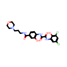 O=C(Nc1ccc(C(=O)NCCCN2CCOCC2)cc1O)C(=O)Nc1cc(Cl)cc(Cl)c1O